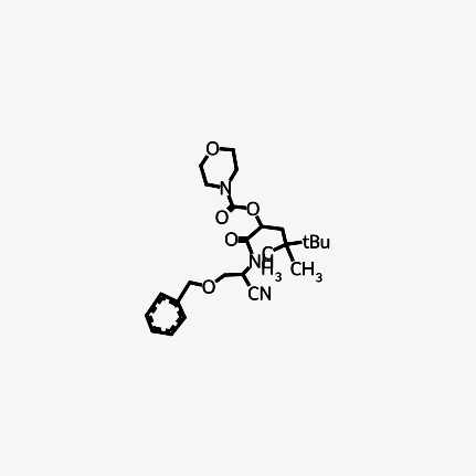 CC(C)(C)C(C)(C)CC(OC(=O)N1CCOCC1)C(=O)NC(C#N)COCc1ccccc1